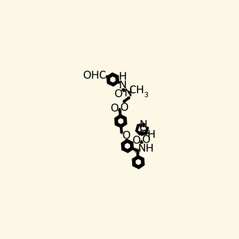 CN(CCOC(=O)c1ccc(COc2cccc([C@@H](NC(=O)O[C@H]3CN4CCC3CC4)c3ccccc3)c2)cc1)C(=O)Nc1ccc(C=O)cc1